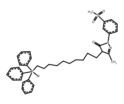 CC1=NN(c2cccc(S(C)(=O)=O)c2)C(=O)C1CCCCCCCCCCP(Br)(c1ccccc1)(c1ccccc1)c1ccccc1